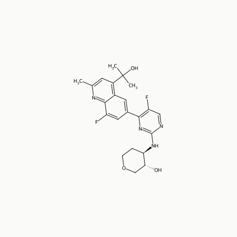 Cc1cc(C(C)(C)O)c2cc(-c3nc(N[C@@H]4CCOC[C@H]4O)ncc3F)cc(F)c2n1